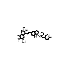 Cc1ccc(CC(=O)NC2CCc3cc(/C=C/C(c4cc(C)c(F)c(Cl)c4)C(F)(F)F)ccc32)cn1